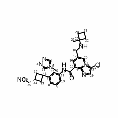 Cn1cnnc1[C@]1(c2cccc(NC(=O)c3cc(CNC4(C)CCC4)cn4c(Cl)cnc34)c2)C[C@H](CC#N)C1